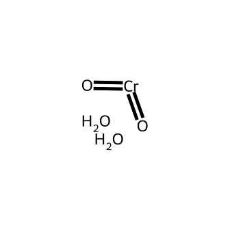 O.O.[O]=[Cr]=[O]